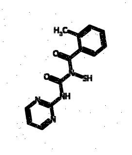 Cc1ccccc1C(=O)N(S)C(=O)Nc1ncccn1